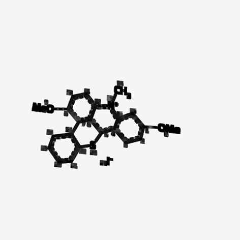 COc1ccc2c3c4c(c(OC)ccc4[n+](C)c2c1)-c1ccccc1S3.[I-]